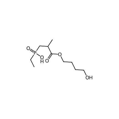 CCP(=O)(O)CC(C)C(=O)OCCCCO